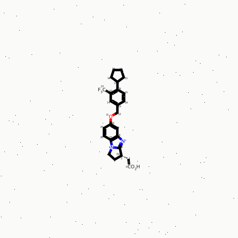 O=C(O)C[C@@H]1CCn2c1nc1cc(OCc3ccc(C4CCCC4)c(C(F)(F)F)c3)ccc12